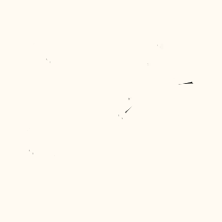 Cn1cc(C2=C(c3cn([C@H]4C[C@H](N)[C@@H](CO)O4)c4ccccc34)C(=O)NC2=O)c2ccccc21